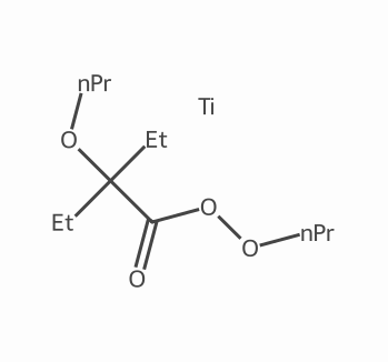 CCCOOC(=O)C(CC)(CC)OCCC.[Ti]